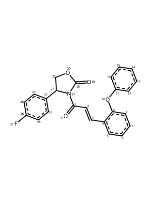 O=C(/C=C/c1ccccc1Oc1ccccc1)N1C(=O)OCC1c1ccc(F)cc1